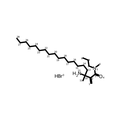 Br.C=C(C(=O)N(C)CCC)C(C)(N)CCCCCCCCCCCCCCCC